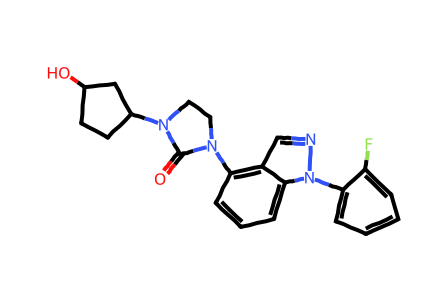 O=C1N(c2cccc3c2cnn3-c2ccccc2F)CCN1C1CCC(O)C1